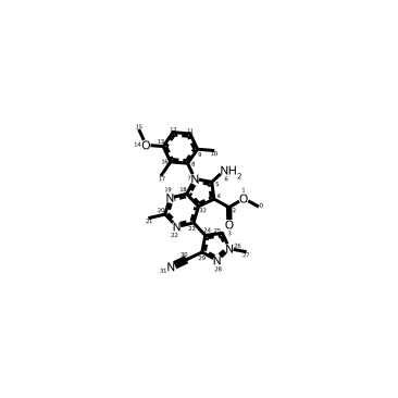 COC(=O)c1c(N)n(-c2c(C)ccc(OC)c2C)c2nc(C)nc(-c3cn(C)nc3C#N)c12